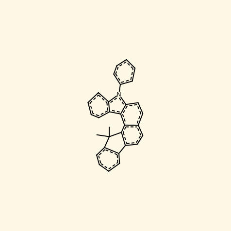 CC1(C)c2ccccc2-c2ccc3ccc4c(c5ccccc5n4-c4ccccc4)c3c21